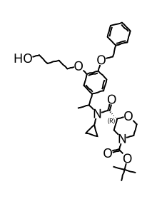 CC(c1ccc(OCc2ccccc2)c(OCCCCO)c1)N(C(=O)[C@H]1CN(C(=O)OC(C)(C)C)CCO1)C1CC1